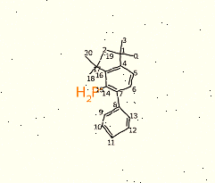 CC(C)(C)c1ccc(-c2ccccc2)c(P)c1C(C)(C)C